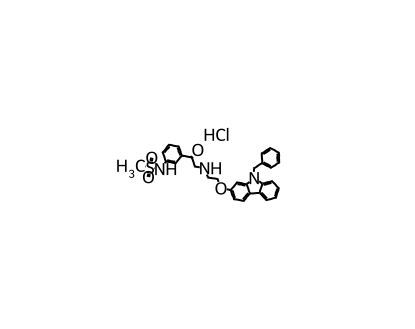 CS(=O)(=O)Nc1cccc(C(=O)CNCCOc2ccc3c4ccccc4n(Cc4ccccc4)c3c2)c1.Cl